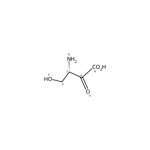 N[C@@H](CO)C(=O)C(=O)O